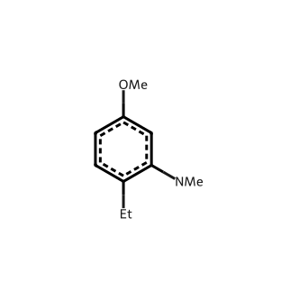 [CH2]Cc1ccc(OC)cc1NC